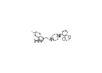 Cc1ccc2c(CCN3CCN(c4cccc5c4OCCO5)CC3)c[nH]c2c1